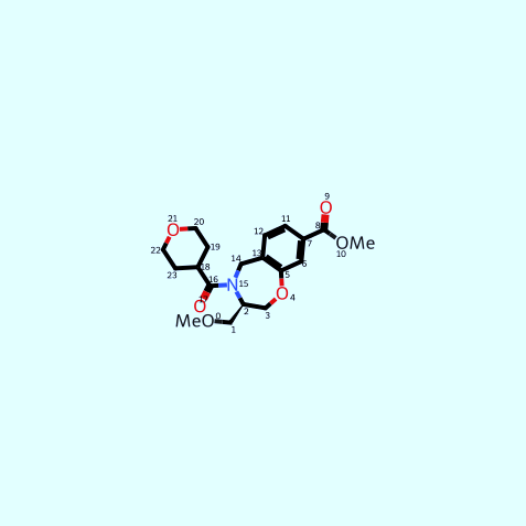 COC[C@@H]1COc2cc(C(=O)OC)ccc2CN1C(=O)C1CCOCC1